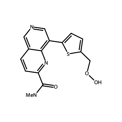 CNC(=O)c1ccc2cncc(-c3ccc(COO)s3)c2n1